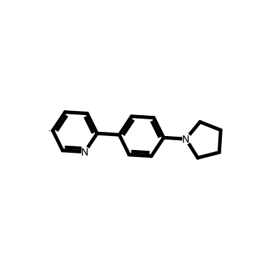 [c]1ccc(-c2ccc(N3CCCC3)cc2)nc1